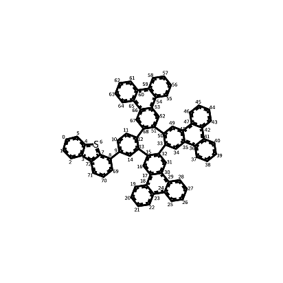 c1ccc2c(c1)sc1c(-c3ccc4c(c3)-c3cc5c6ccccc6c6ccccc6c5cc3-c3cc5c6ccccc6c6ccccc6c5cc3-c3cc5c6ccccc6c6ccccc6c5cc3-4)cccc12